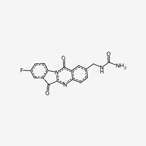 NC(=O)NCc1ccc2nc3n(c(=O)c2c1)-c1ccc(F)cc1C3=O